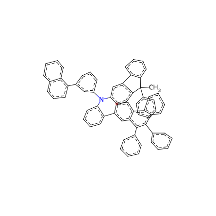 CC1(c2ccccc2)c2ccccc2-c2cc(N(c3cccc(-c4cccc5ccccc45)c3)c3ccccc3-c3ccc4c(c3)c(-c3ccccc3)c(-c3ccccc3)c3ccccc34)ccc21